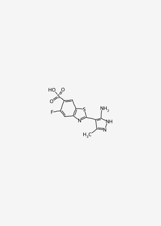 Cc1n[nH]c(N)c1-c1nc2cc(F)c(S(=O)(=O)O)cc2s1